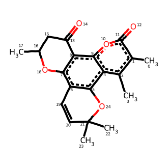 Cc1c(C)c2c3c(c4c(c2oc1=O)C(=O)CC(C)O4)C=CC(C)(C)O3